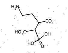 NCCC(C(=O)O)C(C(=O)O)P(=O)(O)O